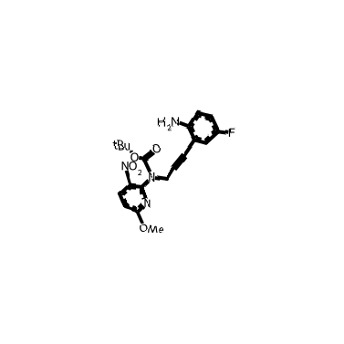 COc1ccc([N+](=O)[O-])c(N(CC#Cc2cc(F)ccc2N)C(=O)OC(C)(C)C)n1